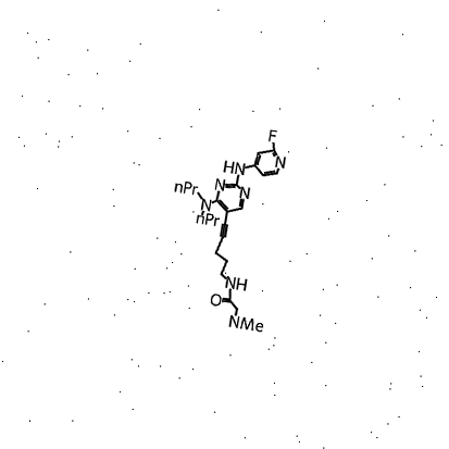 CCCN(CCC)c1nc(Nc2ccnc(F)c2)ncc1C#CCCCNC(=O)CNC